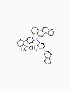 CC1(C)c2ccccc2-c2ccc(N(c3ccc(-c4ccc5ccccc5c4)cc3)c3cc4c5ccccc5ccc4c4ccccc34)cc21